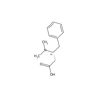 CN(C)[C@@H](CC(=O)O)Cc1ccccc1